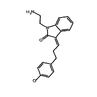 NCCN1C(=O)C(=CCCc2ccc(Cl)cc2)c2ccccc21